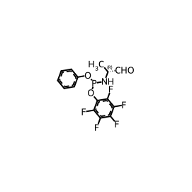 C[C@H](C=O)NP(Oc1ccccc1)Oc1c(F)c(F)c(F)c(F)c1F